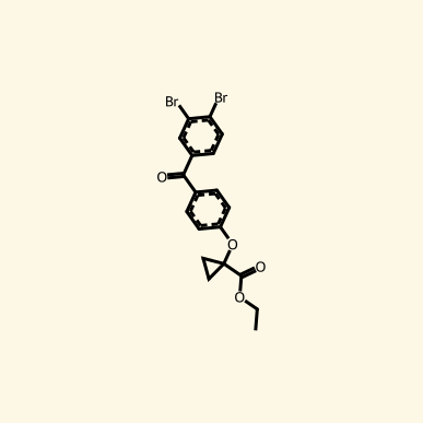 CCOC(=O)C1(Oc2ccc(C(=O)c3ccc(Br)c(Br)c3)cc2)CC1